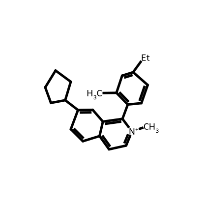 CCc1ccc(-c2c3cc(C4CCCC4)ccc3cc[n+]2C)c(C)c1